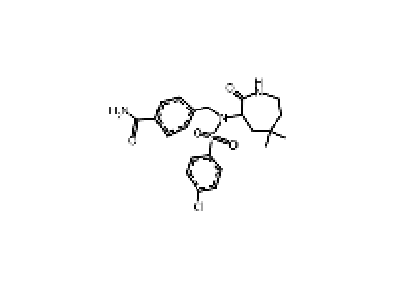 CC1(C)CCNC(=O)C(N(Cc2ccc(C(N)=O)cc2)S(=O)(=O)c2ccc(Cl)cc2)C1